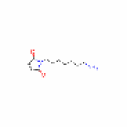 NCCCCCCCN1C(=O)C=CC1=O